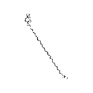 CCCCCCCCCCCCCCCCCCCCCCCCCCCCOC(=O)/C=C\C(=O)O